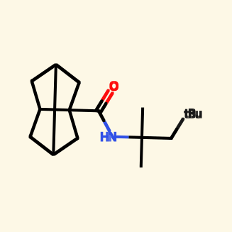 CC(C)(C)CC(C)(C)NC(=O)C12CC3CC1CC3C2